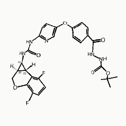 CC(C)(C)OC(=O)NNC(=O)c1ccc(Oc2ccc(NC(=O)N[C@@H]3[C@@H]4COc5c(F)ccc(F)c5[C@H]43)nc2)cc1